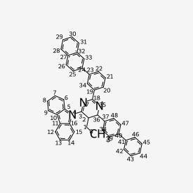 CCC1C(n2c3ccccc3c3ccccc32)=NC(c2cccc(-c3ccc4ccccc4c3)c2)=NC1c1ccc(-c2ccccc2)cc1